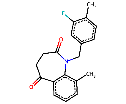 Cc1ccc(CN2C(=O)CCC(=O)c3cccc(C)c32)cc1F